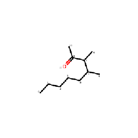 CCCCCC(C)C(C)C(C)=O